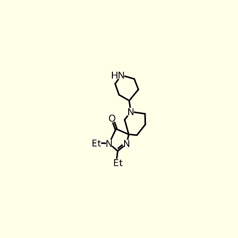 CCC1=NC2(CCCN(C3CCNCC3)C2)C(=O)N1CC